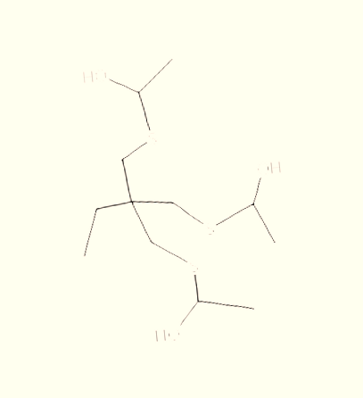 CCC(CSC(C)O)(CSC(C)O)CSC(C)O